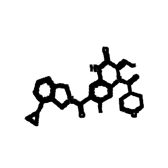 C=C(C1CCOCC1)N1/C(=C\C)C(=O)Nc2cc(C(=O)N3Cc4cccc(C5CC5)c4C3)c(C)cc21